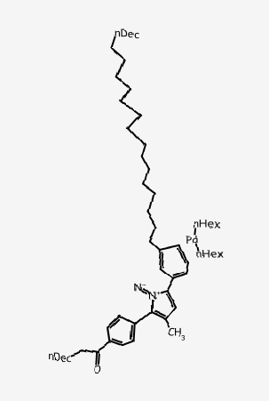 CCCCCCCCCCCCCCCCCCCCCCCCCc1cccc(C2=CC(C)=C(c3ccc(C(=O)CCCCCCCCCCC)cc3)[N+]2=[N-])c1.CCCCC[CH2][Pd][CH2]CCCCC